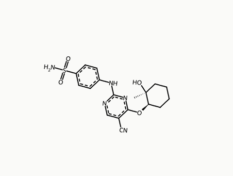 C[C@]1(O)CCCC[C@H]1Oc1nc(Nc2ccc(S(N)(=O)=O)cc2)ncc1C#N